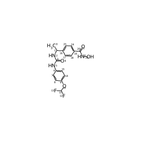 CC(NC(=O)Nc1ccc(OC(F)F)cc1)c1ccc(C(=O)NO)cc1